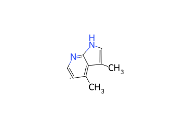 Cc1[c]cnc2[nH]cc(C)c12